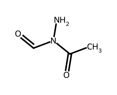 CC(=O)N(N)C=O